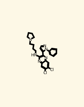 Clc1cc2nc(NCCCCN3CCCC3)c(-c3ccnn3-c3ccccc3)nc2cc1Cl